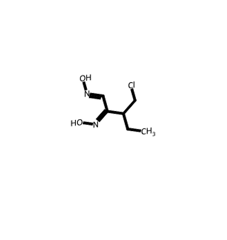 CCC(CCl)C(C=NO)=NO